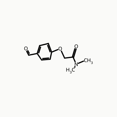 CN(C)C(=O)COc1ccc(C=O)cc1